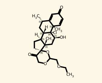 CCOCC1OCC(=O)[C@]2(CC[C@H]3[C@@H]4C[C@H](C)C5=CC(=O)C=C[C@]5(C)[C@@]4(Cl)[C@@H](O)C[C@@]32C)O1